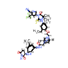 CCc1cc(N2C(=S)N(c3cnc(C#N)c(C(F)(F)F)c3)C(=O)C2(C)C)ccc1OCCN1C[C@@H]2CC[C@H]1CN2CC(=O)Nc1cc(C)cc(NC2CCC(=O)NC2=O)c1